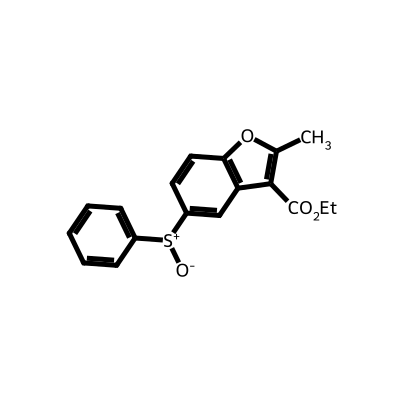 CCOC(=O)c1c(C)oc2ccc([S+]([O-])c3ccccc3)cc12